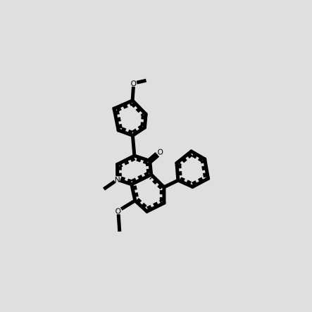 COc1ccc(-c2cn(C)c3c(OC)ccc(-c4ccccc4)c3c2=O)cc1